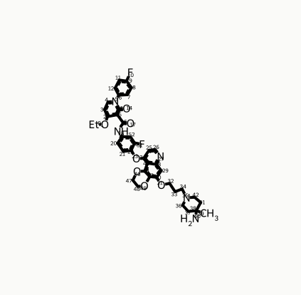 CCOc1ccn(-c2ccc(F)cc2)c(=O)c1C(=O)Nc1ccc(Oc2ccnc3cc(OCCCN4CCC(C)(N)CC4)c4c(c23)OCCO4)c(F)c1